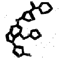 Cn1cc(-n2ccc3nc(Nc4cc(C(=O)N5CCSCC5)cs4)nc(O[C@H]4CCOC4)c32)cn1